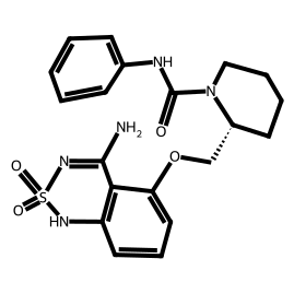 NC1=NS(=O)(=O)Nc2cccc(OC[C@H]3CCCCN3C(=O)Nc3ccccc3)c21